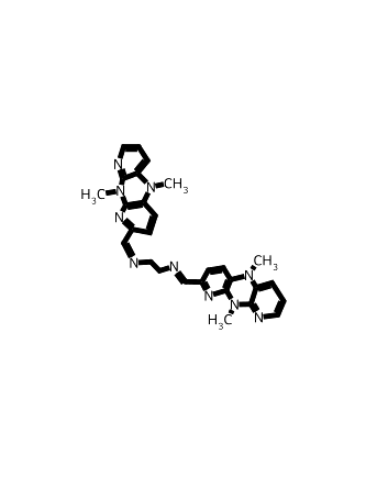 CN1c2cccnc2N(C)c2nc(/C=N\CC/N=C/c3ccc4c(n3)N(C)c3ncccc3N4C)ccc21